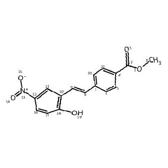 COC(=O)c1ccc(/C=C/c2cc([N+](=O)[O-])ccc2O)cc1